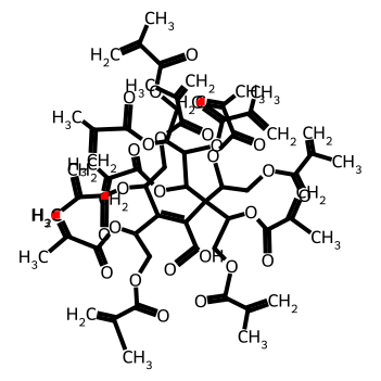 C=C(C)C(=O)OCC(OC(=O)C(=C)C)C(=C(C(=O)O)C(C(COC(=O)C(=C)C)OC(=O)C(=C)C)(C(COC(=O)C(=C)C)OC(=O)C(=C)C)C(OC(=O)C(=C)C)C(OC(=O)C(=C)C)C(COC(=O)C(=C)C)OC(=O)C(=C)C)C(COC(=O)C(=C)C)OC(=O)C(=C)C